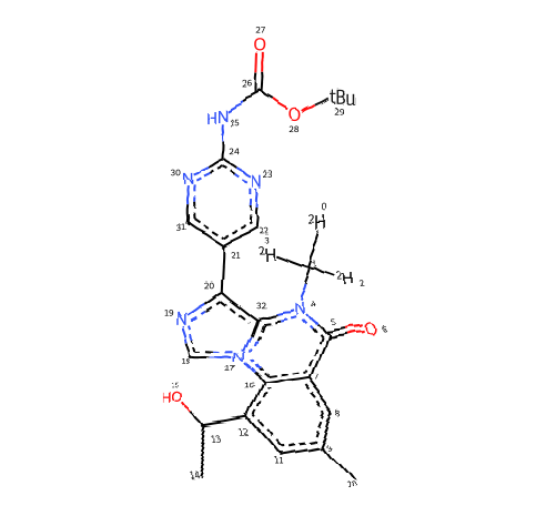 [2H]C([2H])([2H])n1c(=O)c2cc(C)cc(C(C)O)c2n2cnc(-c3cnc(NC(=O)OC(C)(C)C)nc3)c12